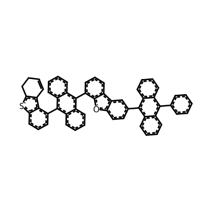 C1=Cc2c(sc3cccc(-c4c5ccccc5c(-c5cccc6c5oc5ccc(-c7c8ccccc8c(-c8ccccc8)c8ccccc78)cc56)c5ccccc45)c23)CC1